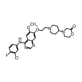 COc1cc2c(Nc3ccc(F)c(Cl)c3)ncnc2cc1OCCN1CCC(N2CCOC(=O)C2)CC1